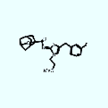 COCCn1cc(Cc2cccc(F)c2)sc1=NC(=O)C12CC3CC(CC1C3)C2